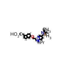 CCCN(CCCOc1ccc2c(c1)CC[C@H]2CC(=O)O)c1ccc(-c2nc(C)c(C)s2)cn1